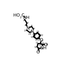 O=C(O)NCCCN1CCN(c2ccc(OC3CCC(=O)NC3=O)cc2)CC1